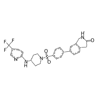 O=C1Cc2ccc(-c3ccc(S(=O)(=O)N4CCC(Nc5ccc(C(F)(F)F)cn5)CC4)cc3)cc2CN1